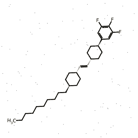 CCCCCCCCCC[C@H]1CC[C@H](/C=C/[C@H]2CC[C@H](c3cc(F)c(F)c(F)c3)CC2)CC1